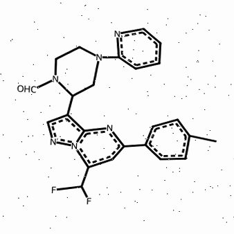 Cc1ccc(-c2cc(C(F)F)n3ncc(C4CN(c5ccccn5)CCN4C=O)c3n2)cc1